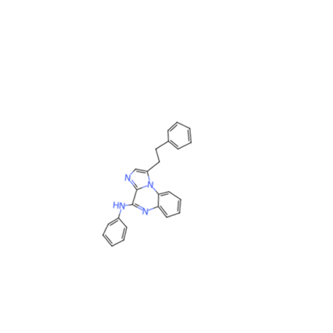 c1ccc(CCc2cnc3c(Nc4ccccc4)nc4ccccc4n23)cc1